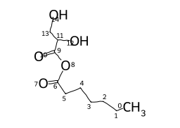 CCCCCCC(=O)OC(=O)C(O)CO